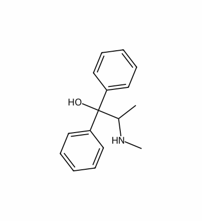 CNC(C)C(O)(c1ccccc1)c1ccccc1